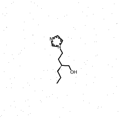 CCC[C@H](CO)CCn1ccnc1